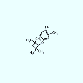 Cc1cc(OC2C(C)(C)CC2(C)C)ccc1C#N